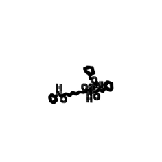 O=C(CCCCCCC(=O)Nc1ccccc1)NOC(=O)C(Cc1ccccc1)NC(=O)OCc1ccccc1